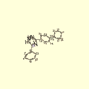 N=C(/N=C(\NN)c1ccccc1)c1ccc(-c2ccccc2)cc1